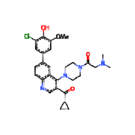 COc1cc(-c2ccc3ncc(C(=O)C4CC4)c(N4CCN(C(=O)CN(C)C)CC4)c3c2)cc(Cl)c1O